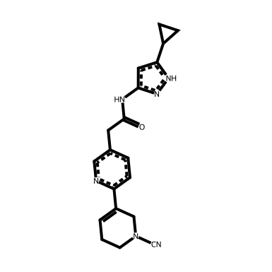 N#CN1CCC=C(c2ccc(CC(=O)Nc3cc(C4CC4)[nH]n3)cn2)C1